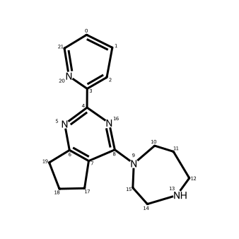 c1ccc(-c2nc3c(c(N4CCCNCC4)n2)CCC3)nc1